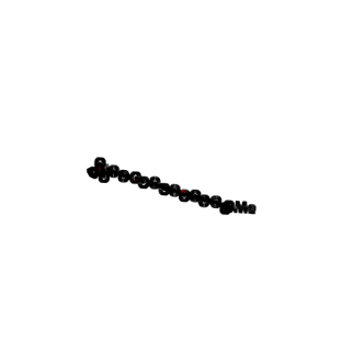 COOCCOCCOCCOCCOCCOCCOCCOCCOCCOCCOCCOCCN1C(=O)c2ccccc2C1=O